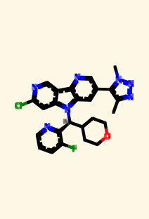 Cc1nnn(C)c1-c1cnc2c3cnc(Cl)cc3n([C@H](c3ncccc3F)C3CCOCC3)c2c1